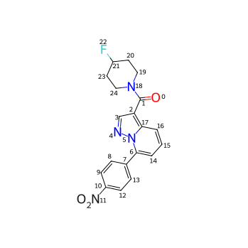 O=C(c1cnn2c(-c3ccc([N+](=O)[O-])cc3)cccc12)N1CCC(F)CC1